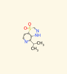 CC(C)c1nccc2c1NN=CS2(=O)=O